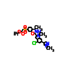 CC(C)OC(=O)CS(=O)(=O)c1ccc([C@@H](C)NC(=O)c2cc3c(Cl)cc(-c4cnn(C)c4)cc3n2C)cc1